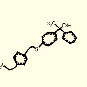 CC(O)(c1ccccc1)c1ccc(OCc2ccc(CN)cc2)cc1